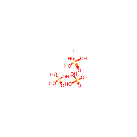 I.O=P(O)(O)O.O=P(O)(O)O.O=P(O)(O)O